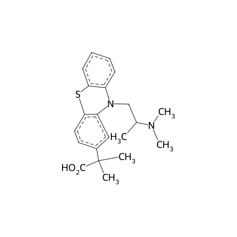 CC(CN1c2ccccc2Sc2ccc(C(C)(C)C(=O)O)cc21)N(C)C